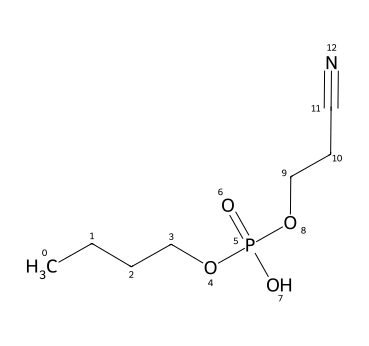 CCCCOP(=O)(O)OCCC#N